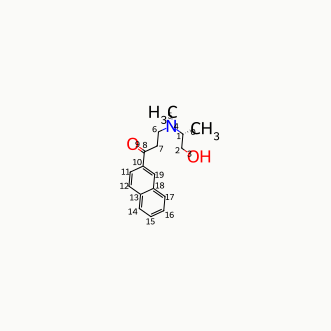 C[C@H](CO)N(C)CCC(=O)c1ccc2ccccc2c1